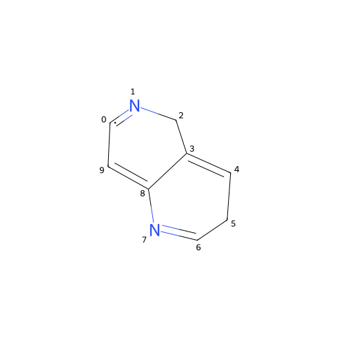 [C]1=NCC2=CCC=NC2=C1